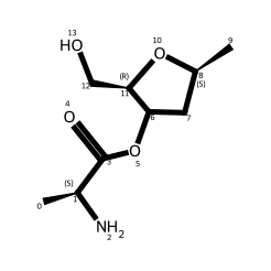 C[C@H](N)C(=O)OC1C[C@H](C)O[C@@H]1CO